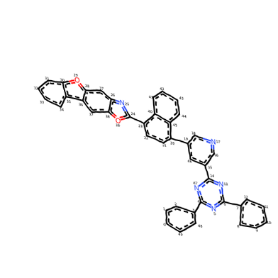 c1ccc(-c2nc(-c3ccccc3)nc(-c3cncc(-c4ccc(-c5nc6cc7oc8ccccc8c7cc6o5)c5ccccc45)c3)n2)cc1